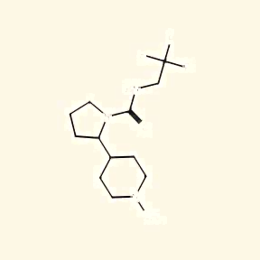 CN1CCC(C2CCCN2C(=O)NCC(F)(F)F)CC1